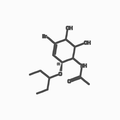 CCC(CC)O[C@@H]1C=C(Br)C(O)C(O)C1NC(C)=O